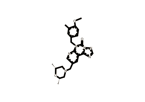 COc1ccc(Cn2c(=O)n3ncnc3c3cc(CN4C[C@@H](C)O[C@@H](C)C4)cnc32)cc1C